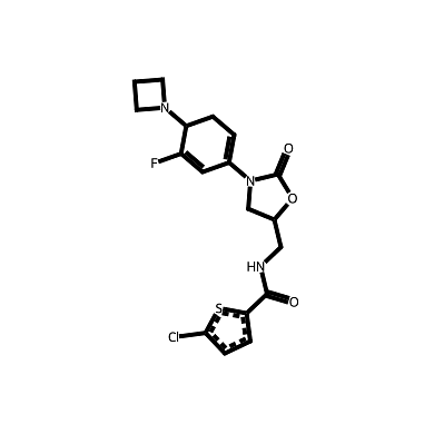 O=C(NCC1CN(C2=CCC(N3CCC3)C(F)=C2)C(=O)O1)c1ccc(Cl)s1